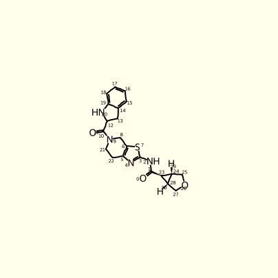 O=C(Nc1nc2c(s1)CN(C(=O)C1Cc3ccccc3N1)CC2)[C@H]1[C@@H]2COC[C@@H]21